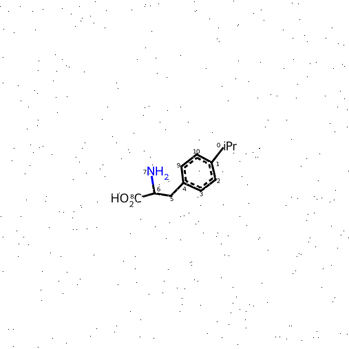 CC(C)c1ccc(CC(N)C(=O)O)cc1